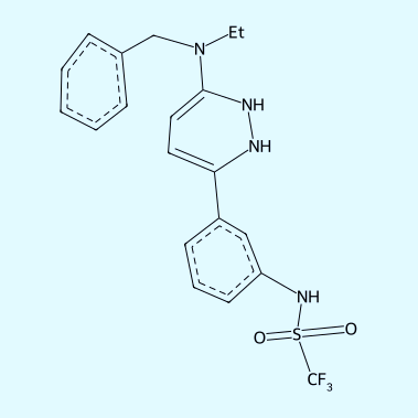 CCN(Cc1ccccc1)C1=CC=C(c2cccc(NS(=O)(=O)C(F)(F)F)c2)NN1